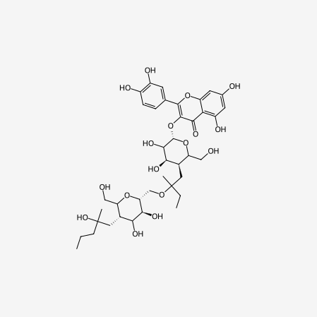 CCCC(C)(O)C[C@@H]1C(CO)O[C@H](COC(C)(CC)C[C@@H]2C(CO)O[C@@H](Oc3c(-c4ccc(O)c(O)c4)oc4cc(O)cc(O)c4c3=O)C(O)[C@@H]2O)[C@@H](O)C1O